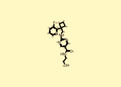 O=C(NCCO)c1cnc(NCC2(c3ncccc3F)CCC2)nc1